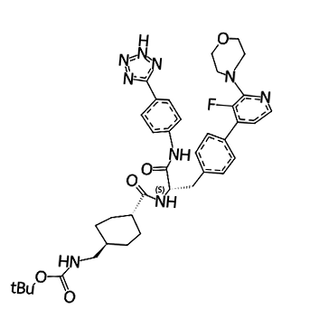 CC(C)(C)OC(=O)NC[C@H]1CC[C@H](C(=O)N[C@@H](Cc2ccc(-c3ccnc(N4CCOCC4)c3F)cc2)C(=O)Nc2ccc(-c3nn[nH]n3)cc2)CC1